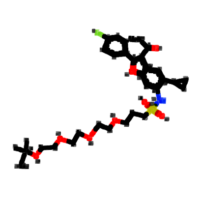 CNC(=O)c1c(-c2ccc(F)cc2)oc2cc(NS(=O)(=O)CCCOCCOCCOCCO[Si](C)(C)C(C)(C)C)c(C3CC3)cc12